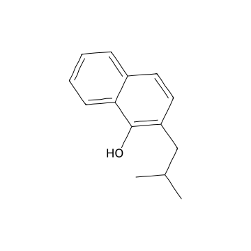 CC(C)Cc1ccc2ccccc2c1O